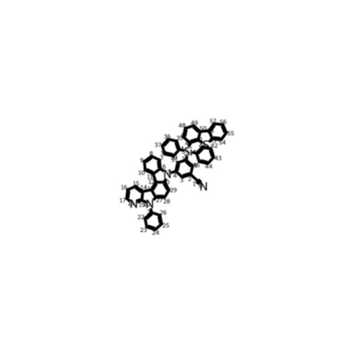 N#Cc1cc(-n2c3ccccc3c3c4c5cccnc5n(-c5ccccc5)c4ccc32)cc([Si](c2ccccc2)(c2ccccc2)c2cccc3c2sc2ccccc23)c1